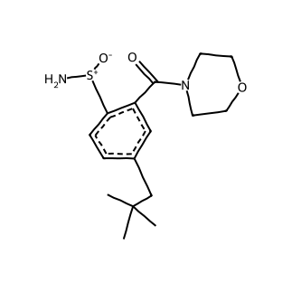 CC(C)(C)Cc1ccc([S+](N)[O-])c(C(=O)N2CCOCC2)c1